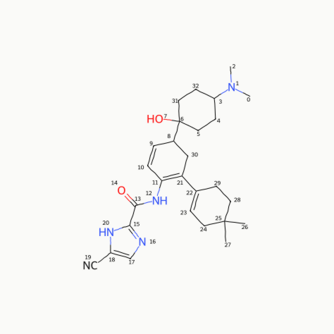 CN(C)C1CCC(O)(C2C=CC(NC(=O)c3ncc(C#N)[nH]3)=C(C3=CCC(C)(C)CC3)C2)CC1